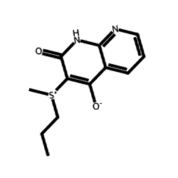 CCC[S+](C)c1c([O-])c2cccnc2[nH]c1=O